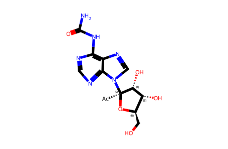 CC(=O)[C@@]1(n2cnc3c(NC(N)=O)ncnc32)O[C@H](CO)[C@@H](O)[C@H]1O